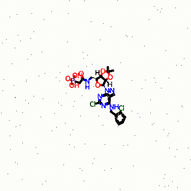 CC1(C)O[C@@H]2[C@H](O1)[C@@H](CNC(=O)CP(=O)(O)O)O[C@H]2n1ncc2c(NCc3ccccc3Cl)nc(Cl)nc21